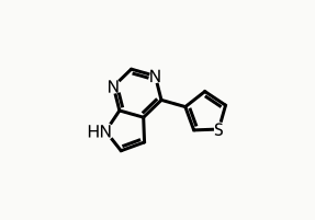 c1nc(-c2ccsc2)c2cc[nH]c2n1